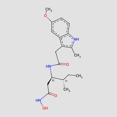 CC[C@H](C)[C@@H](CC(=O)NO)NC(=O)Cc1c(C)[nH]c2ccc(OC)cc12